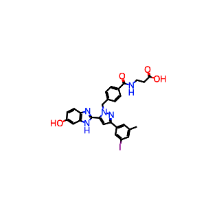 Cc1cc(I)cc(-c2cc(-c3nc4ccc(O)cc4[nH]3)n(Cc3ccc(C(=O)NCCC(=O)O)cc3)n2)c1